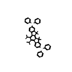 CC(C)c1c2c(c3c(c1C(C)C)-c1ccc(N(c4ccccc4)c4ccccc4)cc1C3(C)C)C(C)(C)c1cc(N(c3ccccc3)c3ccccc3)ccc1-2